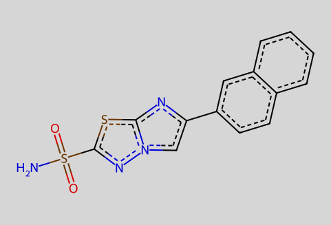 NS(=O)(=O)c1nn2cc(-c3ccc4ccccc4c3)nc2s1